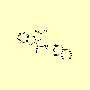 O=C(O)CC1(C(=O)NCc2cc3ccccc3cn2)Cc2ccccc2C1